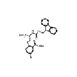 COC(=O)c1cc(C)ccc1SCC(NC(=O)OCC1c2ccccc2-c2ccccc21)C(=O)O